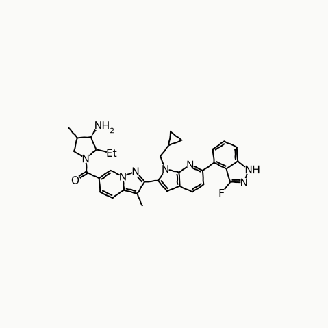 CCC1[C@H](N)C(C)CN1C(=O)c1ccc2c(C)c(-c3cc4ccc(-c5cccc6[nH]nc(F)c56)nc4n3CC3CC3)nn2c1